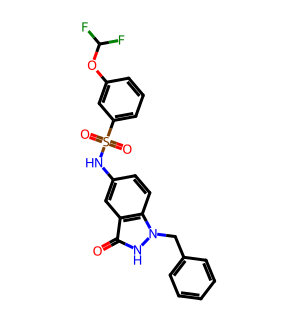 O=c1[nH]n(Cc2ccccc2)c2ccc(NS(=O)(=O)c3cccc(OC(F)F)c3)cc12